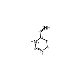 N=CC1CCN=CN1